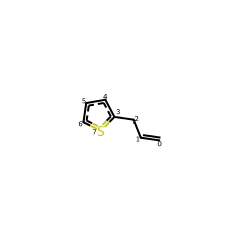 C=C[CH]c1cccs1